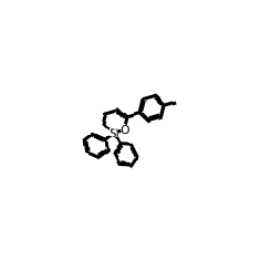 Cc1ccc(C2=CCC[Si](c3ccccc3)(c3ccccc3)O2)cc1